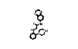 O=C(CNc1ccccc1N1CCNCC1)Nc1ccc2nccnc2c1